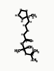 C=C(C)CC(C)(C)OC(=O)CCCC[C@]1(C)CCSS1